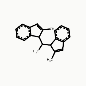 CC1=Cc2ccccc2C1C(C)C1C(C)=Cc2ccccc21